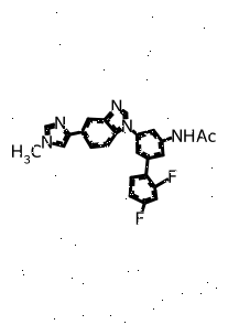 CC(=O)Nc1cc(-c2ccc(F)cc2F)cc(-n2cnc3cc(-c4cn(C)cn4)ccc32)c1